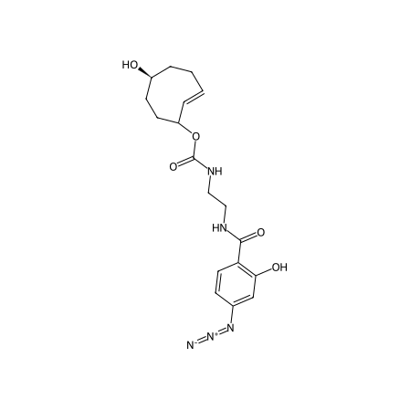 [N-]=[N+]=Nc1ccc(C(=O)NCCNC(=O)OC2/C=C/CC[C@H](O)CC2)c(O)c1